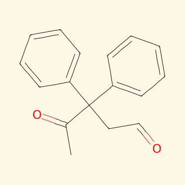 CC(=O)C(CC=O)(c1ccccc1)c1ccccc1